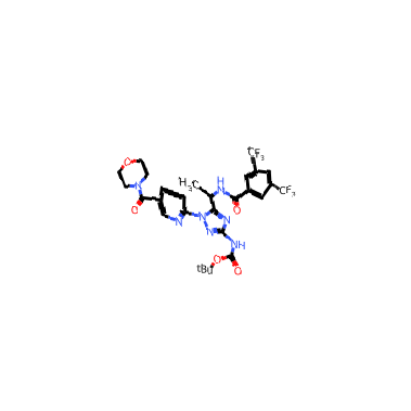 CC(NC(=O)c1cc(C(F)(F)F)cc(C(F)(F)F)c1)c1nc(NC(=O)OC(C)(C)C)nn1-c1ccc(C(=O)N2CCOCC2)cn1